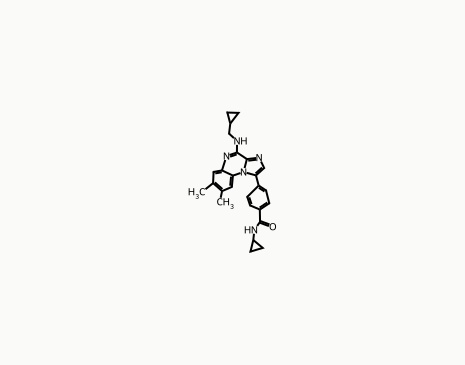 Cc1cc2nc(NCC3CC3)c3ncc(-c4ccc(C(=O)NC5CC5)cc4)n3c2cc1C